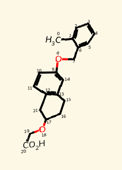 Cc1ccccc1COc1ccc2c(c1)CCC(OCC(=O)O)C2